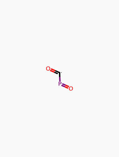 O=[C]P=O